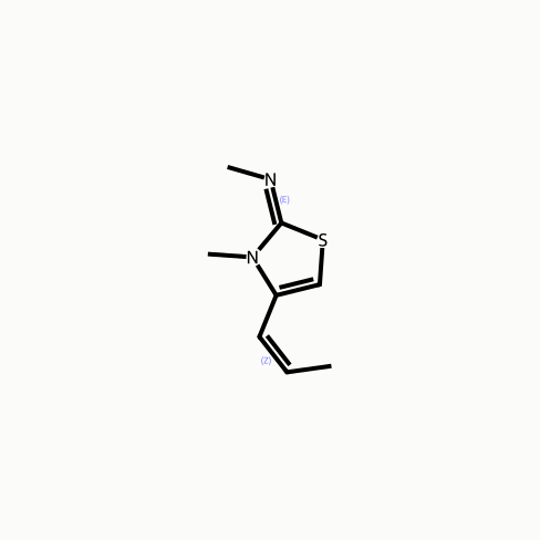 C/C=C\c1cs/c(=N/C)n1C